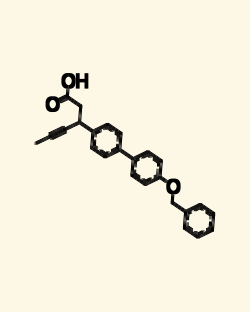 CC#CC(CC(=O)O)c1ccc(-c2ccc(OCc3ccccc3)cc2)cc1